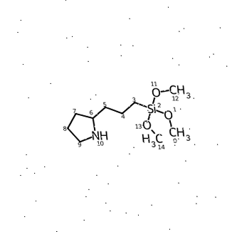 CO[Si](CCCC1CCCN1)(OC)OC